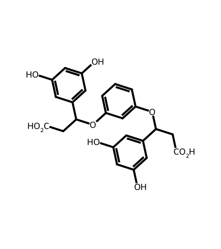 O=C(O)CC(Oc1cccc(OC(CC(=O)O)c2cc(O)cc(O)c2)c1)c1cc(O)cc(O)c1